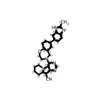 Cc1nc2ccc(-c3ccc4c(c3)CN(c3ncnc5c(C#N)c6n(c35)CCCC6)CCO4)cc2[nH]1